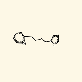 c1ccc(CCSCc2ccco2)nc1